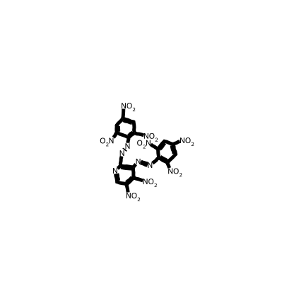 O=[N+]([O-])c1cc([N+](=O)[O-])c(N=Nc2ncc([N+](=O)[O-])c([N+](=O)[O-])c2N=Nc2c([N+](=O)[O-])cc([N+](=O)[O-])cc2[N+](=O)[O-])c([N+](=O)[O-])c1